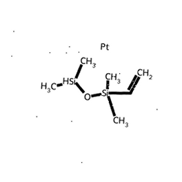 C=C[Si](C)(C)O[SiH](C)C.[Pt]